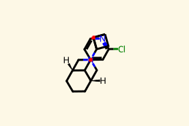 Clc1cc(C2[C@@H]3CCC[C@H]2CN(C24CC(C2)C4)C3)ccn1